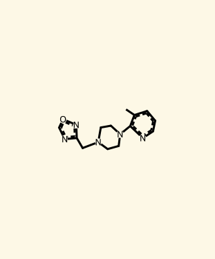 Cc1cccnc1N1CCN(Cc2ncon2)CC1